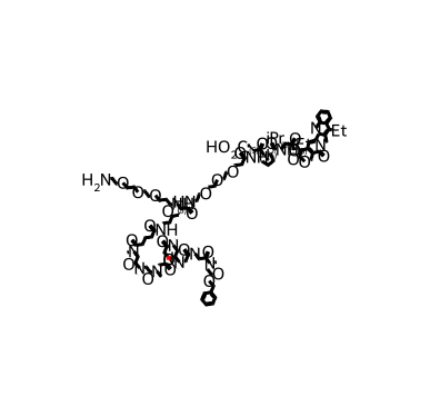 CCc1c2c(nc3ccccc13)-c1cc3c(c(=O)n1C2)COC(=O)[C@@]3(CC)OC(=O)[C@@H](NC(=O)[C@@H]1CCCN1C(=O)[C@H](CC(=O)O)NC(=O)CCOCCOCCOCCNC(=O)[C@H](CCCCNC(=O)CCCC(=O)N(C)CC(=O)N(C)CC(=O)N(C)CC(=O)N(C)CC(=O)N(C)CC(=O)N(C)CC(=O)N(C)CC(=O)N(C)CC(=O)OCc1ccccc1)NC(=O)CCOCCOCCOCCN)C(C)C